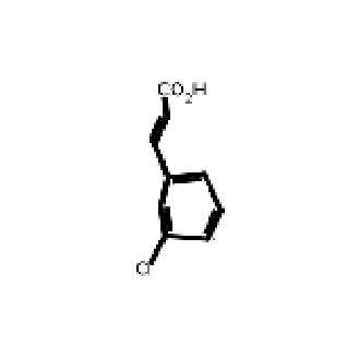 O=C(O)/C=C/c1cc[c]c(Cl)c1